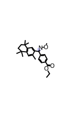 CCOC(=O)c1ccc(/C(=N\OC)c2cc3c(cc2C)C(C)(C)CCC3(C)C)cc1